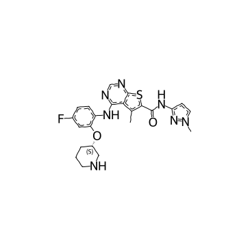 Cc1c(C(=O)Nc2ccn(C)n2)sc2ncnc(Nc3ccc(F)cc3O[C@H]3CCCNC3)c12